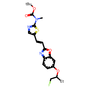 CCC(CF)Oc1ccc2nc(/C=C/c3cnc(N(C)C(=O)OC(C)(C)C)s3)oc2c1